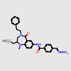 CN1c2ccc(NC(=O)c3ccc(C=NN)cc3)cc2C(=O)N(CCc2ccccc2)CC1CC(=O)O